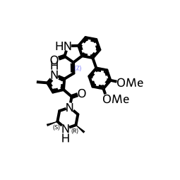 COc1ccc(-c2cccc3c2/C(=C/c2[nH]c(C)cc2C(=O)N2C[C@@H](C)N[C@@H](C)C2)C(=O)N3)cc1OC